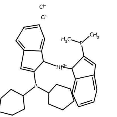 CP(C)C1=Cc2ccccc2[CH]1[Hf+2][CH]1C(P(C2CCCCC2)C2CCCCC2)=Cc2ccccc21.[Cl-].[Cl-]